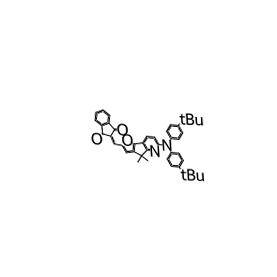 CC(C)(C)c1ccc(N(c2ccc(C(C)(C)C)cc2)c2ccc3c(n2)C(C)(C)c2cc(C=C4C(=O)c5ccccc5C4=O)oc2-3)cc1